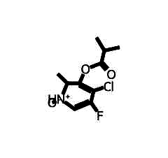 CC(C)C(=O)OC1=C(Cl)C(F)=C[NH+]([O-])C1C